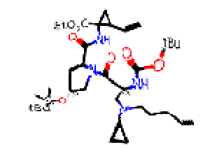 C=CCCCN(C[C@H](NC(=O)OC(C)(C)C)C(=O)N1C[C@H](O[Si](C)(C)C(C)(C)C)CC1C(=O)NC1(C(=O)OCC)CC1C=C)C1CC1